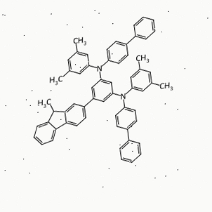 Cc1cc(C)cc(N(c2ccc(-c3ccccc3)cc2)c2cc(-c3ccc4c(c3)C(C)c3ccccc3-4)cc(N(c3ccc(-c4ccccc4)cc3)c3cc(C)cc(C)c3)c2)c1